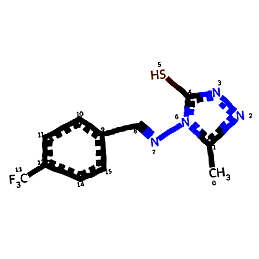 Cc1nnc(S)n1N=Cc1ccc(C(F)(F)F)cc1